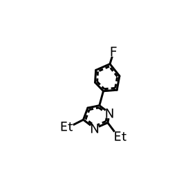 CCc1cc(-c2ccc(F)cc2)nc(CC)n1